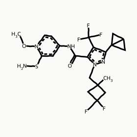 CO[n+]1ccc(NC(=O)c2c(C(F)(F)F)c(C34CC3C4)nn2CC2(C)CC(F)(F)C2)cc1SN